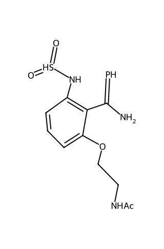 CC(=O)NCCOc1cccc(N[SH](=O)=O)c1C(N)=P